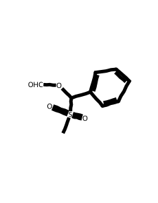 CS(=O)(=O)C(OC=O)c1ccccc1